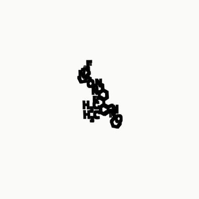 Cc1cc2c(cnn2C2CCCCO2)c(-c2ccc3cnc(OC[C@@]45CCCN4C[C@H](F)C5)nc3c2F)c1C